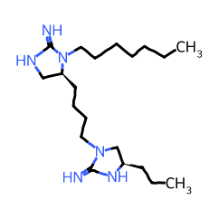 CCCCCCCN1C(=N)NC[C@@H]1CCCCN1C[C@@H](CCC)NC1=N